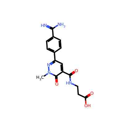 Cn1nc(-c2ccc(C(=N)N)cc2)cc(C(=O)NCCC(=O)O)c1=O